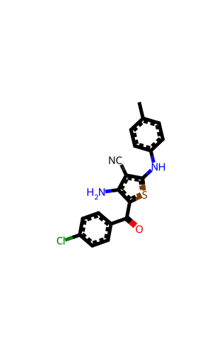 Cc1ccc(Nc2sc(C(=O)c3ccc(Cl)cc3)c(N)c2C#N)cc1